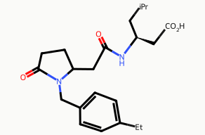 CCc1ccc(CN2C(=O)CCC2CC(=O)N[C@H](CC(=O)O)CC(C)C)cc1